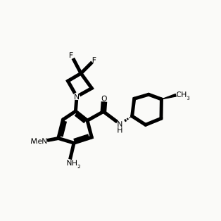 CNc1cc(N2CC(F)(F)C2)c(C(=O)N[C@H]2CC[C@H](C)CC2)cc1N